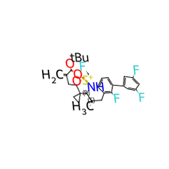 C=C(CCC1([C@H](N[S+]([O-])CF)[C@@H](C)Cc2cccc(-c3cc(F)cc(F)c3)c2F)CC1)C(=O)OC(C)(C)C